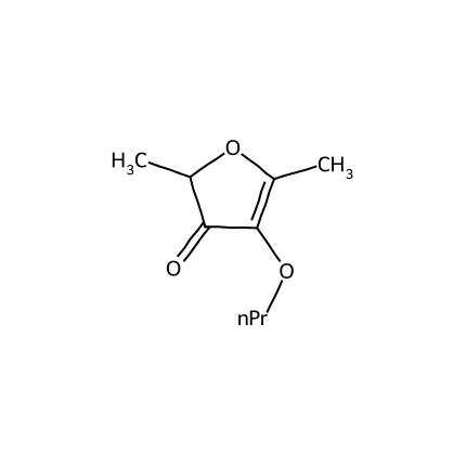 CCCOC1=C(C)OC(C)C1=O